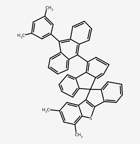 Cc1cc(C)cc(-c2c3ccccc3c(-c3cccc4c3-c3ccccc3C43c4ccccc4-c4sc5c(C)cc(C)cc5c43)c3ccccc23)c1